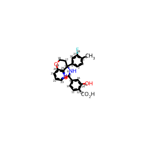 Cc1ccc([C@@]2(NC(=O)c3ccc(C(=O)O)c(O)c3)CCOc3cccnc32)cc1F